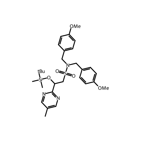 COc1ccc(CN(Cc2ccc(OC)cc2)S(=O)(=O)CC(O[Si](C)(C)C(C)(C)C)c2ncc(C)cn2)cc1